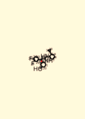 O=C(/N=C(/Nc1ccccc1C1CC1)N[C@H]1CC[C@H](O)CC1)c1ccc(F)c(F)c1